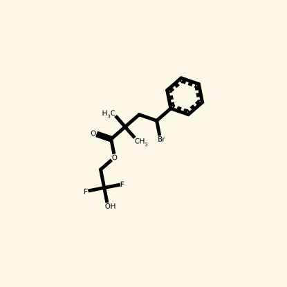 CC(C)(CC(Br)c1ccccc1)C(=O)OCC(O)(F)F